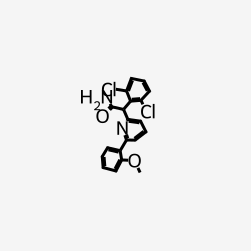 COc1ccccc1-c1cccc(C(C(N)=O)c2c(Cl)cccc2Cl)n1